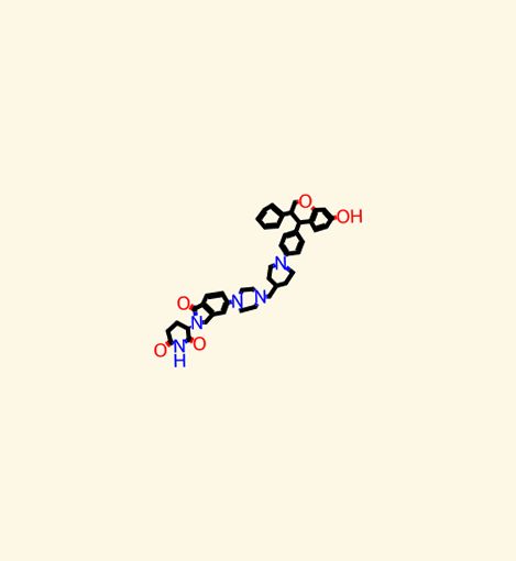 O=C1CC[C@H](N2Cc3cc(N4CCN(CC5CCN(c6ccc(C7c8ccc(O)cc8OCC7c7ccccc7)cc6)CC5)CC4)ccc3C2=O)C(=O)N1